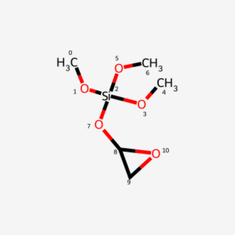 CO[Si](OC)(OC)OC1CO1